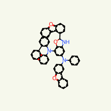 c1ccc(-c2ccccc2N(c2ccccc2)c2cc(N(c3ccccc3)c3ccc4oc5ccccc5c4c3)cc3c2OC(c2cccc4oc5ccccc5c24)N3)cc1